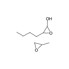 CC1CO1.CCCCC1OC1O